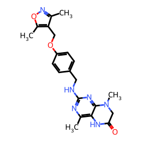 Cc1noc(C)c1COc1ccc(CNc2nc(C)c3c(n2)N(C)CC(=O)N3)cc1